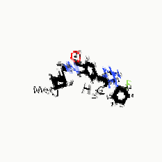 CO[C@H]1C[C@@H](CN2Cc3cc(-c4nnn(-c5ccccc5F)c4C)ccc3C2=O)C1